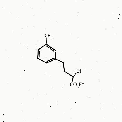 CCOC(=O)C(CC)CCc1cccc(C(F)(F)F)c1